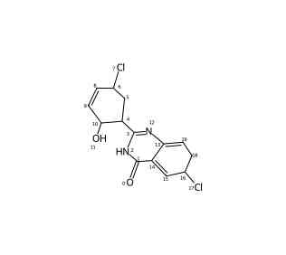 O=c1[nH]c(C2CC(Cl)C=CC2O)nc2c1=CC(Cl)CC=2